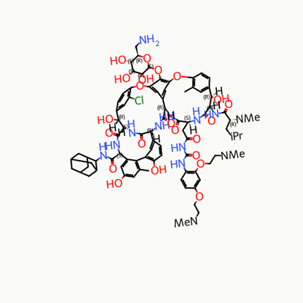 CNCCOc1ccc(NC(=O)NC(=O)C[C@@H]2NC(=O)[C@H](NC(=O)[C@@H](CC(C)C)NC)[C@H](O)c3ccc(c(C)c3)Oc3cc4cc(c3O[C@@H]3O[C@H](CN)[C@@H](O)[C@H](O)[C@H]3O)Oc3ccc(cc3Cl)[C@@H](O)[C@@H]3NC(=O)[C@H](NC(=O)[C@@H]4NC2=O)c2ccc(O)c(c2)-c2c(C)cc(O)cc2[C@@H](C(=O)NC2C4CC5CC(C4)CC2C5)NC3=O)c(OCCNC)c1